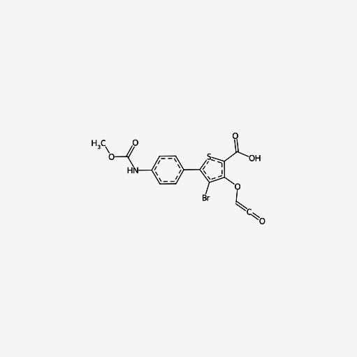 COC(=O)Nc1ccc(-c2sc(C(=O)O)c(OC=C=O)c2Br)cc1